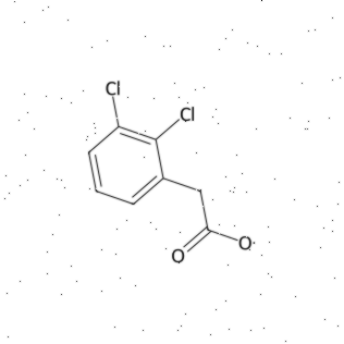 [O]C(=O)Cc1cccc(Cl)c1Cl